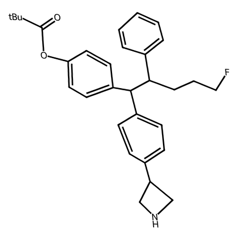 CC(C)(C)C(=O)Oc1ccc(C(c2ccc(C3CNC3)cc2)C(CCCF)c2ccccc2)cc1